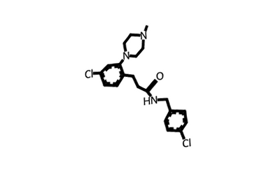 CN1CCN(c2cc(Cl)ccc2CCC(=O)NCc2ccc(Cl)cc2)CC1